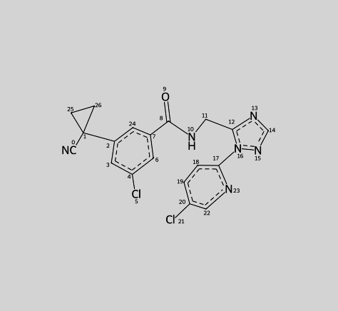 N#CC1(c2cc(Cl)cc(C(=O)NCc3ncnn3-c3ccc(Cl)cn3)c2)CC1